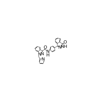 O=C(Nc1ccc(-c2n[nH]c(=O)c3ccccc23)cc1)c1nn(Cc2ccccn2)c2ccccc12